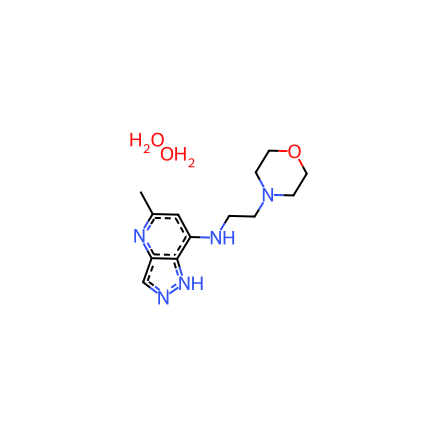 Cc1cc(NCCN2CCOCC2)c2[nH]ncc2n1.O.O